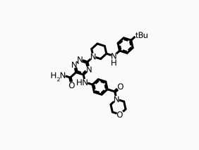 CC(C)(C)c1ccc(NC2CCCN(c3nnc(C(N)=O)c(Nc4ccc(C(=O)N5CCOCC5)cc4)n3)C2)cc1